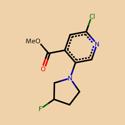 COC(=O)c1cc(Cl)ncc1N1CCC(F)C1